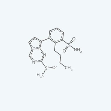 CCCCc1c(-c2ccc3cnc([S+](C)[O-])nn23)cccc1S(N)(=O)=O